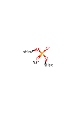 CCCCCCOP(=O)([O-])OCCCCCC.[Na+]